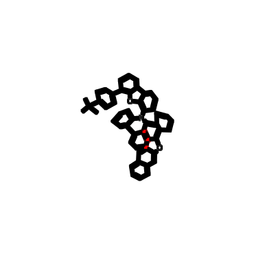 CC(C)(C)c1ccc(-c2cccc3c2oc2c(N(c4ccccc4-c4ccccc4)c4cc5c6cc7ccccc7cc6oc5c5ccccc45)cccc23)cc1